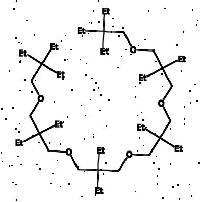 CCC(CC)(CC)COCC(CC)(CC)COCC(CC)(CC)COCC(CC)(CC)COCC(CC)(CC)COCC(CC)(CC)CC